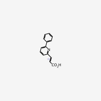 O=C(O)/C=C/c1cccc(-c2ccccc2)n1